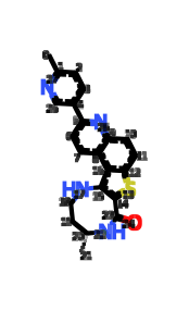 Cc1ccc(-c2ccc3c(ccc4sc5c(c43)NCC[C@@H](C)NC5=O)n2)cn1